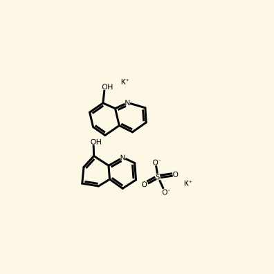 O=S(=O)([O-])[O-].Oc1cccc2cccnc12.Oc1cccc2cccnc12.[K+].[K+]